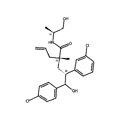 C=CC[C@@](C)(C[C@H](c1cccc(Cl)c1)C(O)c1ccc(Cl)cc1)C(=O)N[C@@H](C)CO